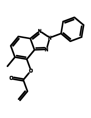 C=CC(=O)Oc1c(C)ccc2nn(-c3ccccc3)nc12